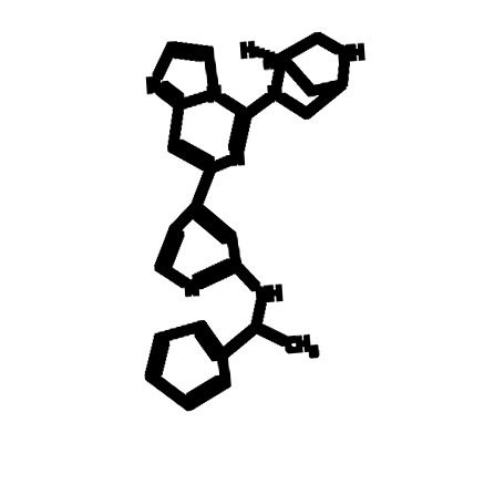 CC(Nc1cc(-c2cc3nccn3c(N3CC4C[C@@H]3CN4)n2)ccn1)c1ccccc1